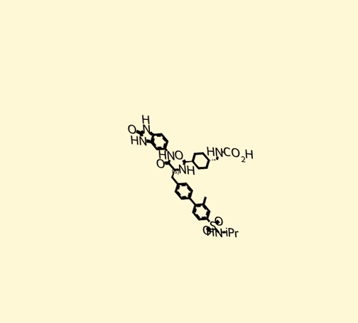 Cc1cc(S(=O)(=O)NC(C)C)ccc1-c1ccc(C[C@H](NC(=O)[C@H]2CC[C@H](CNC(=O)O)CC2)C(=O)Nc2ccc3[nH]c(=O)[nH]c3c2)cc1